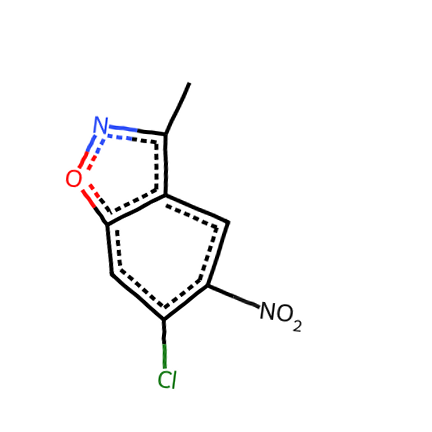 Cc1noc2cc(Cl)c([N+](=O)[O-])cc12